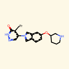 CC(C)c1c(-n2cc3ccc(OC4CCCNC4)cc3c2)cn[nH]c1=O